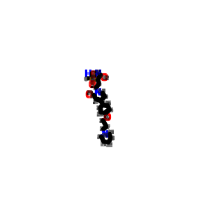 CS(=O)(=O)C(CCn1ccc(-c2ccc(OCCCN3CCCCC3)cc2)cc1=O)C(N)=O